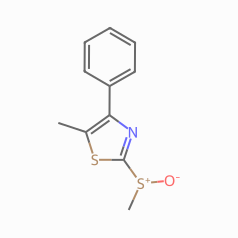 Cc1sc([S+](C)[O-])nc1-c1ccccc1